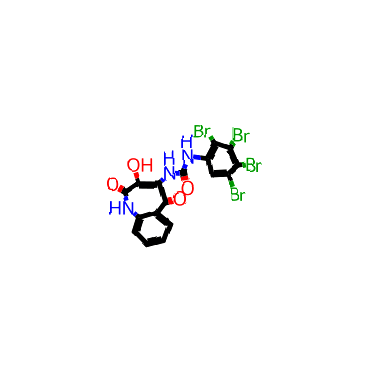 O=C(Nc1cc(Br)c(Br)c(Br)c1Br)Nc1c(O)c(=O)[nH]c2ccccc2c1=O